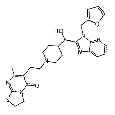 Cc1nc2n(c(=O)c1CCN1CCC(C(O)c3nc4cccnc4n3Cc3ccco3)CC1)CCS2